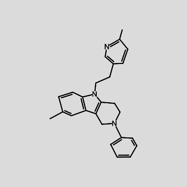 Cc1ccc2c(c1)c1c(n2CCc2ccc(C)nc2)CCN(c2ccccc2)C1